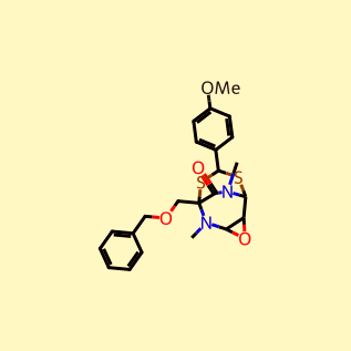 COc1ccc(C2SC3C4OC4N(C)C(COCc4ccccc4)(S2)C(=O)N3C)cc1